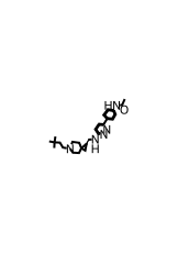 CC(=O)Nc1ccc(-c2ccc(NC[C@H]3CC34CCN(CCC(C)(C)C)CC4)nn2)cc1